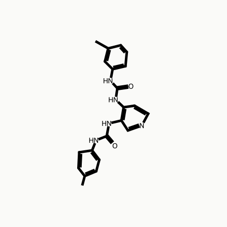 Cc1ccc(NC(=O)Nc2cnccc2NC(=O)Nc2cccc(C)c2)cc1